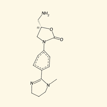 CN1CCCN=C1c1ccc(N2C[C@H](CN)OC2=O)cc1